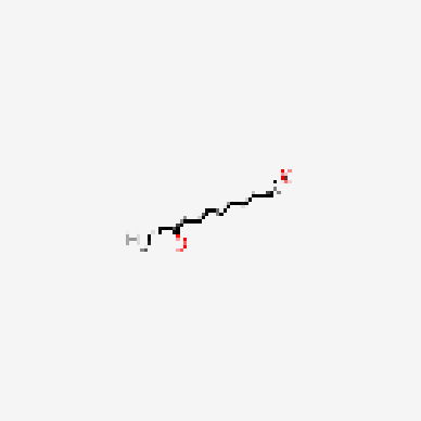 CCC(=O)CCCCCCCC=C=O